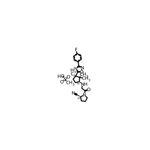 CC1(C)[C@@H](NCC(=O)N2CCC[C@H]2C#N)CC[C@@]1(C)c1nc(-c2ccc(F)cc2)no1.CS(=O)(=O)O